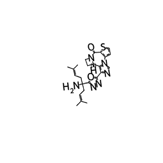 CC(C)=CCC(N)(CC=C(C)C)c1nnc(-c2ncn3c2[C@@H]2CCN2C(=O)c2sccc2-3)o1